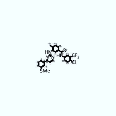 CSc1cccc(-c2ccnc(Nc3cc(C(=O)Nc4ccc(Cl)c(C(F)(F)F)c4)ccc3C)n2)c1